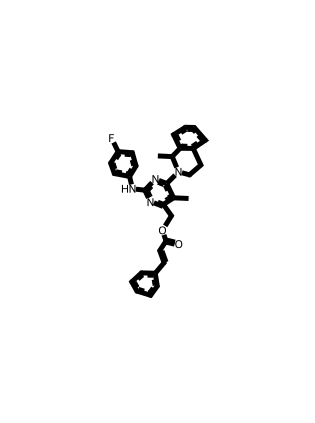 Cc1c(COC(=O)C=Cc2ccccc2)nc(Nc2ccc(F)cc2)nc1N1CCc2ccccc2C1C